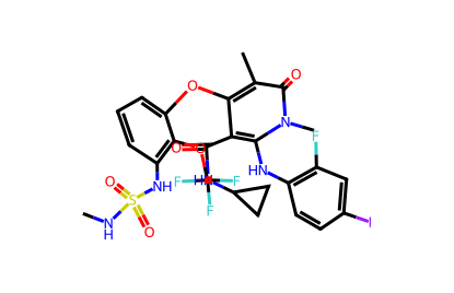 CNS(=O)(=O)Nc1cccc(Oc2c(C(=O)NC3CC3)c(Nc3ccc(I)cc3F)n(C)c(=O)c2C)c1OC(F)(F)F